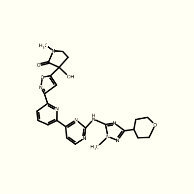 CN1CCC(O)(c2cc(-c3cccc(-c4ccnc(Nc5nc(C6CCOCC6)nn5C)n4)n3)no2)C1=O